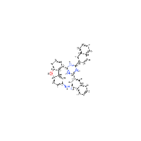 Nc1ccc2oc3cccc(-c4nc(-c5ccc6ccccc6c5)nc(-c5ccc6ccccc6c5)n4)c3c2c1